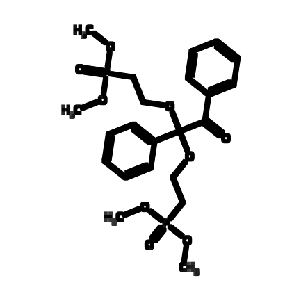 COP(=O)(CCOC(OCCP(=O)(OC)OC)(C(=O)c1ccccc1)c1ccccc1)OC